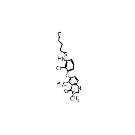 Cc1c(Oc2cccc(NSCCCF)c2Cl)ccc2ncn(C)c(=O)c12